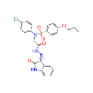 CCCOc1ccc(S(=O)(=O)N(CC(=O)N/N=C2\C(=O)Nc3ccccc32)c2ccc(Cl)cc2)cc1